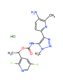 Cc1nc(-c2nnn(C)c2NC(=O)OC(C)c2cc(F)cnc2F)ccc1N.Cl